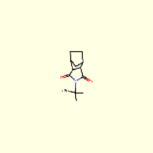 CCCC(C)(C)N1C(=O)C2C3CCC(C3)C2C1=O